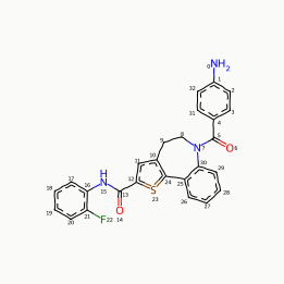 Nc1ccc(C(=O)N2CCc3cc(C(=O)Nc4ccccc4F)sc3-c3ccccc32)cc1